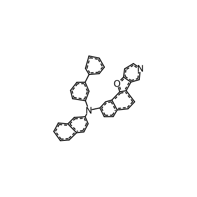 c1ccc(-c2cccc(N(c3ccc4ccccc4c3)c3ccc4ccc5c6cnccc6oc5c4c3)c2)cc1